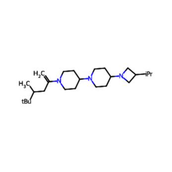 C=C(CC(C)C(C)(C)C)N1CCC(N2CCC(N3CC(C(C)C)C3)CC2)CC1